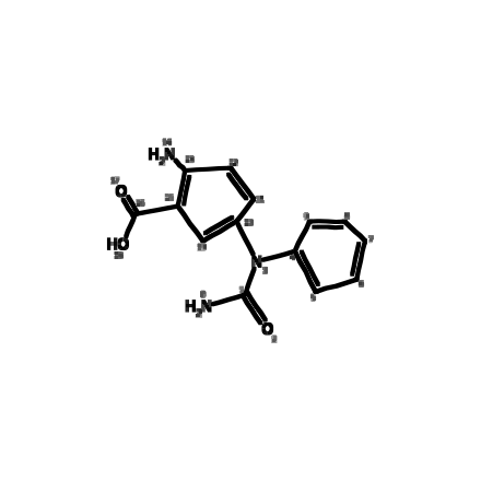 NC(=O)N(c1ccccc1)c1ccc(N)c(C(=O)O)c1